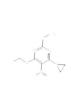 CCNc1nc(SC)nc(N2CC2)c1[N+](=O)[O-]